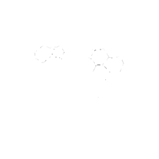 O=c1c2c(N3CCC4(CC3)COC4)cccc2cnn1CCc1cn2ccccc2n1